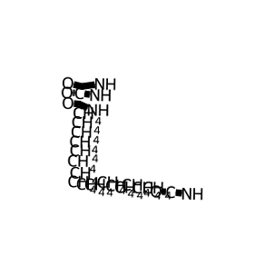 C.C.C.C.C.C.C.C.C.C.C.C.C.C.C.C.N=C=O.N=C=O.N=C=O.N=C=O